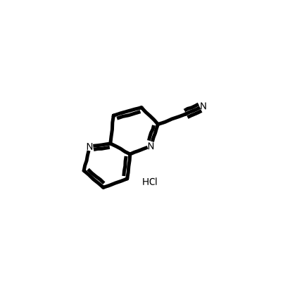 Cl.N#Cc1ccc2ncccc2n1